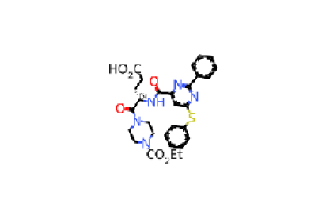 CCOC(=O)N1CCN(C(=O)[C@H](CCC(=O)O)NC(=O)c2cc(Sc3ccccc3)nc(-c3ccccc3)n2)CC1